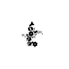 C=CC(=O)Nc1cc(Nc2cc(N3OCC[C@@H]3Cc3ccccc3)ncn2)c(OC)cc1N1CCN(CC2CC2)CC1